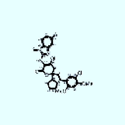 COc1cc(OC)c(CCC2(C3CCCC3)CC(O)=C(Sc3nc4cc(Cl)ccc4n3C)C(=O)O2)cc1Cl